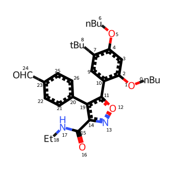 CCCCOc1cc(OCCCC)c(C(C)(C)C)cc1-c1onc(C(=O)NCC)c1-c1ccc(C=O)cc1